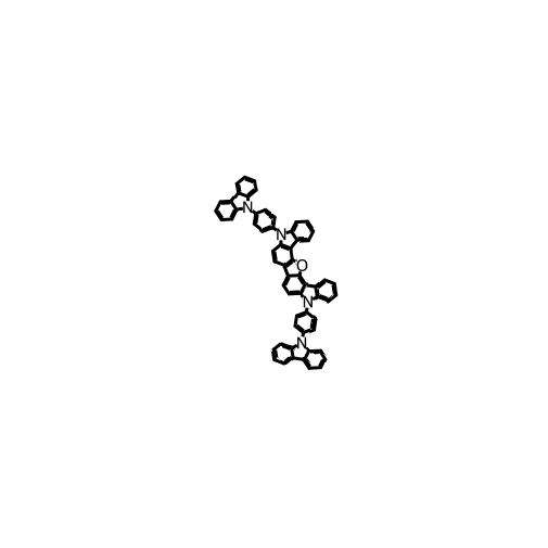 c1ccc2c(c1)c1ccccc1n2-c1ccc(-n2c3ccccc3c3c4oc5c(ccc6c5c5ccccc5n6-c5ccc(-n6c7ccccc7c7ccccc76)cc5)c4ccc32)cc1